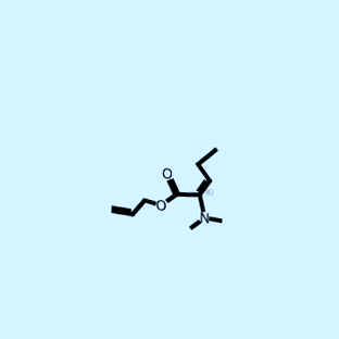 C=CCOC(=O)/C(=C\CC)N(C)C